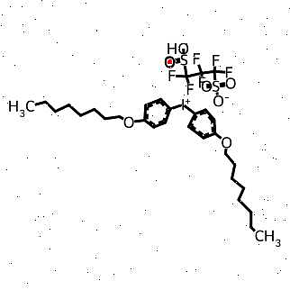 CCCCCCCCOc1ccc([I+]c2ccc(OCCCCCCCC)cc2)cc1.O=S(=O)([O-])C(F)(F)C(F)(F)C(F)(F)S(=O)(=O)O